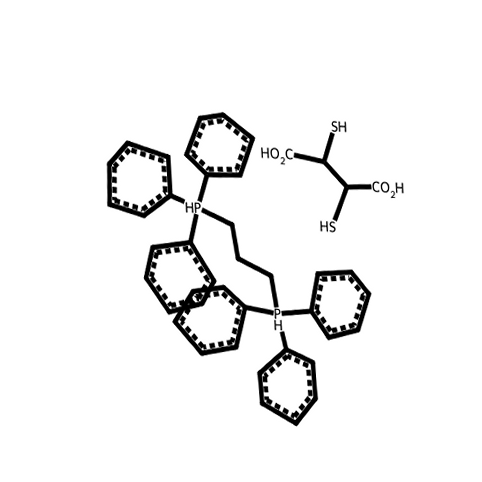 O=C(O)C(S)C(S)C(=O)O.c1ccc([PH](CCC[PH](c2ccccc2)(c2ccccc2)c2ccccc2)(c2ccccc2)c2ccccc2)cc1